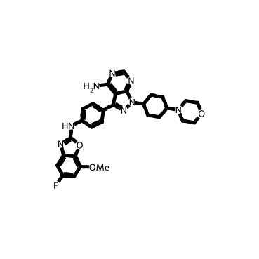 COc1cc(F)cc2nc(Nc3ccc(-c4nn(C5CCC(N6CCOCC6)CC5)c5ncnc(N)c45)cc3)oc12